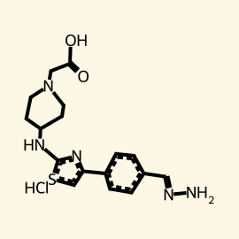 Cl.NN=Cc1ccc(-c2csc(NC3CCN(CC(=O)O)CC3)n2)cc1